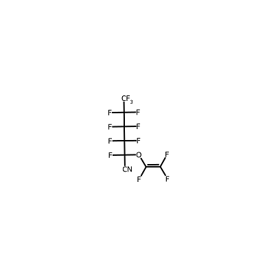 N#CC(F)(OC(F)=C(F)F)C(F)(F)C(F)(F)C(F)(F)C(F)(F)F